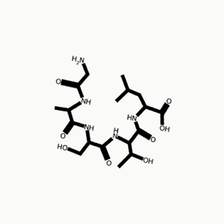 CC(C)CC(NC(=O)C(NC(=O)C(CO)NC(=O)C(C)NC(=O)CN)C(C)O)C(=O)O